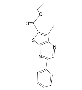 CCOC(=O)c1sc2nc(-c3ccccc3)cnc2c1I